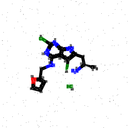 C[C@H](N)Cc1[nH]c2nc(Cl)nc(NCc3ccco3)c2c1F.Cl